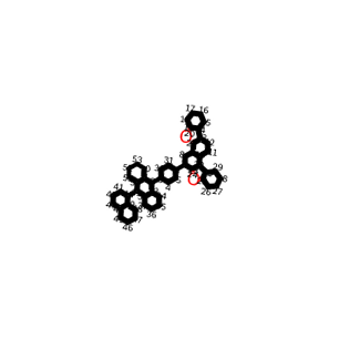 C1=c2c(-c3ccc(-c4cc5c(ccc6c7ccccc7oc65)c5c4oc4ccccc45)cc3)c3ccccc3c(-c3cccc4ccccc34)c2=CCC1